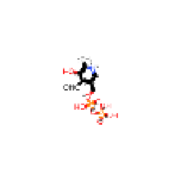 Cc1ncc(COP(=O)(O)OP(=O)(O)O)c(C=O)c1O